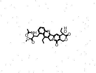 CCc1c2c(nc3cccc(CC(NC(C)=O)C(=O)OC)c13)-c1cc3c(c(=O)n1C2)COC(=O)[C@]3(O)CC